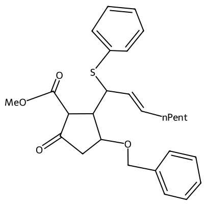 CCCCCC=CC(Sc1ccccc1)C1C(OCc2ccccc2)CC(=O)C1C(=O)OC